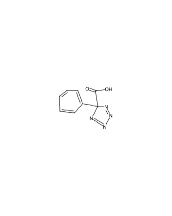 O=C(O)C1(c2ccccc2)N=NN=N1